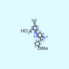 COc1cccc(-c2cn(C)c3ccc(Nc4ncc(C5CC5)cc4C(=O)O)cc23)c1